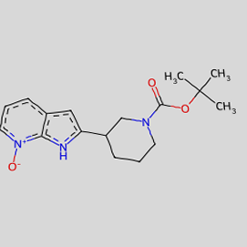 CC(C)(C)OC(=O)N1CCCC(c2cc3ccc[n+]([O-])c3[nH]2)C1